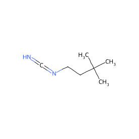 CC(C)(C)CCN=C=N